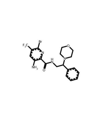 Nc1cc(C(F)(F)F)c(Br)nc1C(=O)NCC(c1ccccc1)N1CCOCC1